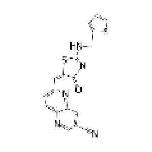 N#Cc1cnc2ccc(C=C3SC(NCc4cccs4)=NC3=O)nc2c1